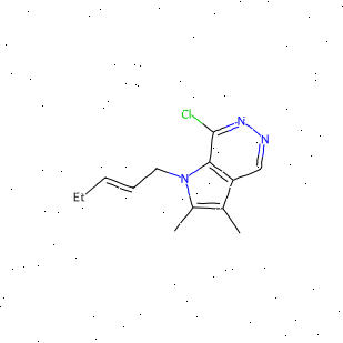 CC/C=C/Cn1c(C)c(C)c2cnnc(Cl)c21